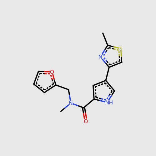 Cc1nc(-c2c[nH]c(C(=O)N(C)Cc3ccco3)c2)cs1